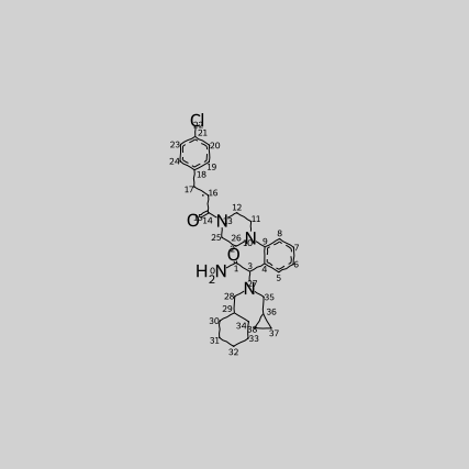 NC(=O)C(c1ccccc1N1CCN(C(=O)[CH]Cc2ccc(Cl)cc2)CC1)N(CC1CCCCC1)CC1CC1